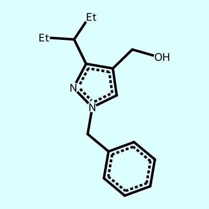 CCC(CC)c1nn(Cc2ccccc2)cc1CO